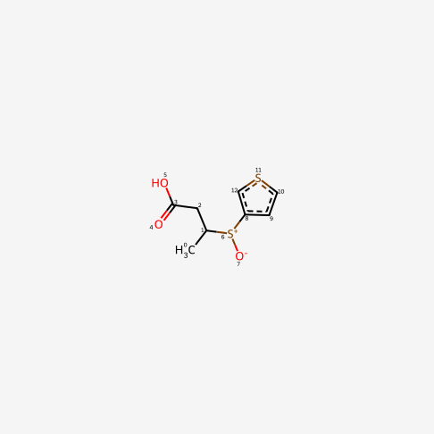 CC(CC(=O)O)[S+]([O-])c1ccsc1